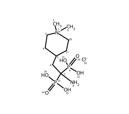 C[N+]1(C)CCC(CC(N)(P(=O)(O)O)P(=O)(O)O)CC1.[Cl-]